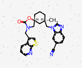 C[C@@]1(Cn2cnc3ccc(C#N)cc32)CCC[C@]2(CN(Cc3csc4ncccc34)C(=O)O2)C1